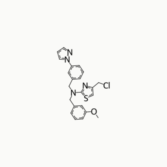 COc1cccc(CN(Cc2cccc(-n3cccn3)c2)c2nc(CCl)cs2)c1